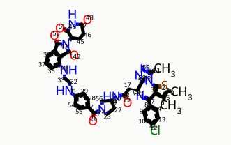 Cc1sc2c(c1C)C(c1ccc(Cl)cc1)=N[C@@H](CC(=O)N[C@H]1CCN(C(=O)c3ccc(NCCNc4cccc5c4C(=O)N(C4CCC(=O)NC4=O)C5=O)cc3)C1)c1nnc(C)n1-2